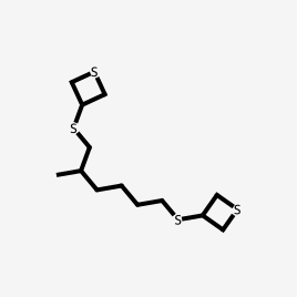 CC(CCCCSC1CSC1)CSC1CSC1